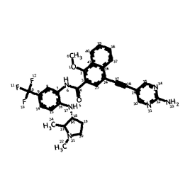 COc1c(C(=O)Nc2cc(C(F)(F)F)ccc2N[C@@H]2CCN(C)C2C)cc(C#Cc2cnc(N)nc2)c2ccccc12